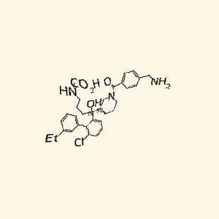 CCc1cccc(-c2c(Cl)cccc2[C@](O)(CCCNC(=O)O)[C@@H]2CCCN(C(=O)c3ccc(CN)cc3)C2)c1